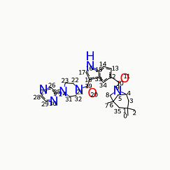 CC1(C)CC2CC(C)(CN2C(=O)c2ccc3[nH]cc(C(=O)N4CCN(c5cnccn5)CC4)c3c2)C1